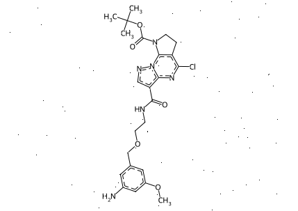 COc1cc(N)cc(COCCNC(=O)c2cnn3c4c(c(Cl)nc23)CCN4C(=O)OC(C)(C)C)c1